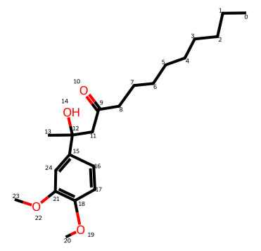 CCCCCCCCCC(=O)CC(C)(O)c1ccc(OC)c(OC)c1